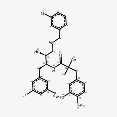 CCc1cccc(CNC[C@H](O)[C@H](Cc2cc(F)cc(F)c2)NC(=O)C(C)(C#N)Cc2ccc(OC)c(OC)c2)c1